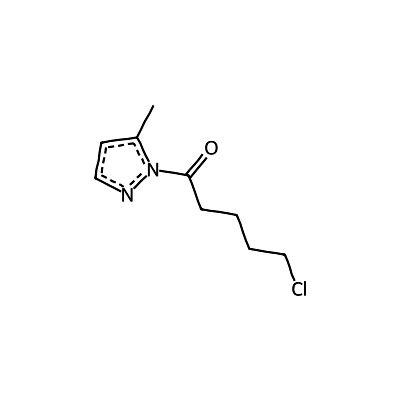 Cc1ccnn1C(=O)CCCCCl